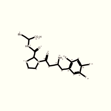 CCC(C)C(NC(=O)C1SCCN1C(=O)CC(N)Cc1cc(F)c(F)cc1F)C(=O)O